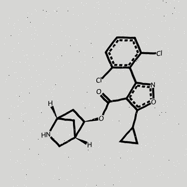 O=C(O[C@@H]1C[C@@H]2C[C@H]1CN2)c1c(-c2c(Cl)cccc2Cl)noc1C1CC1